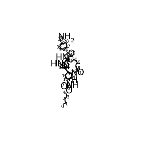 CCCCCOC(=O)Nc1ccc2c(c1)NC(=O)CCCC[C@H](NC(=O)[C@H]1CC[C@H](CN)CC1)c1nc-2c[nH]1